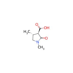 C[C@H]1CN(C)C(=O)[C@@H]1C(=O)O